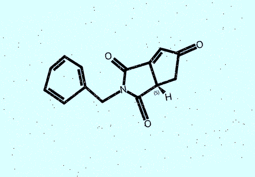 O=C1C=C2C(=O)N(Cc3ccccc3)C(=O)[C@H]2C1